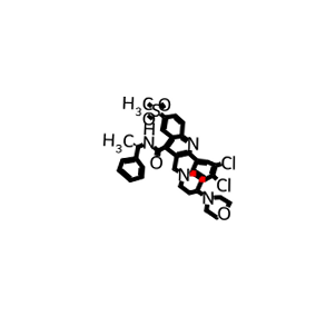 C[C@H](NC(=O)c1c(CN2CCC(N3CCOCC3)CC2)c(-c2ccc(Cl)c(Cl)c2)nc2ccc(S(C)(=O)=O)cc12)c1ccccc1